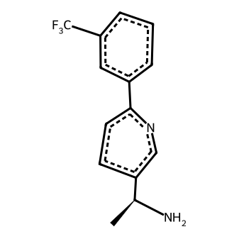 C[C@H](N)c1ccc(-c2cccc(C(F)(F)F)c2)nc1